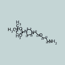 CC(C)(C)OC(=O)N1CCN(CCOCCCN)CC1